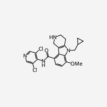 COc1ccc(C(=O)Nc2c(Cl)cncc2Cl)c2c3c(n(CC4CC4)c12)CCNC3